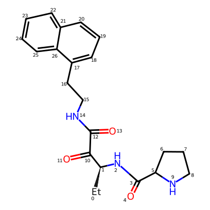 CC[C@H](NC(=O)C1CCCN1)C(=O)C(=O)NCCc1cccc2ccccc12